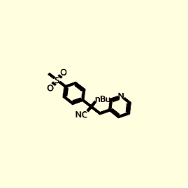 CCCCC(C#N)(Cc1cccnc1)c1ccc(S(C)(=O)=O)cc1